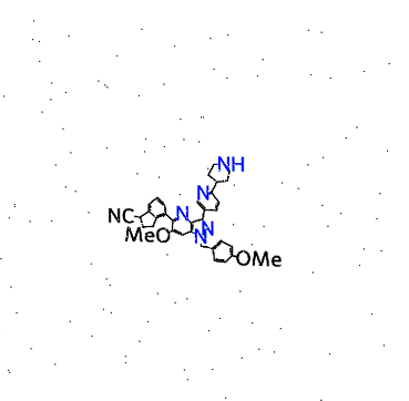 COc1ccc(Cn2nc(-c3ccc(C4CCNCC4)nc3)c3nc(-c4cccc5c4CCC5C#N)c(OC)cc32)cc1